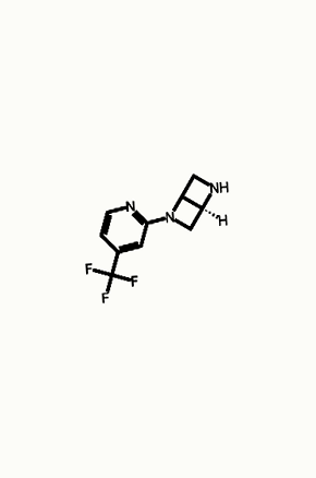 FC(F)(F)c1ccnc(N2C[C@@H]3NCC32)c1